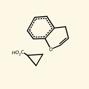 C1=COc2ccccc2C1.O=C(O)C1CC1